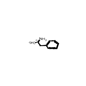 N[C@H]([C]=O)Cc1ccccc1